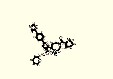 O=C(C[C@]1(c2ccc(-c3ccc(-c4cnco4)cc3)s2)CCN(C(=O)c2ccccn2)CCS1(=O)=O)NOC1CCCCO1